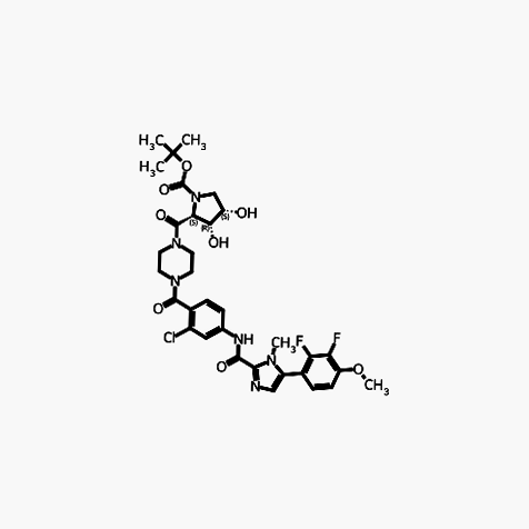 COc1ccc(-c2cnc(C(=O)Nc3ccc(C(=O)N4CCN(C(=O)[C@@H]5[C@@H](O)[C@@H](O)CN5C(=O)OC(C)(C)C)CC4)c(Cl)c3)n2C)c(F)c1F